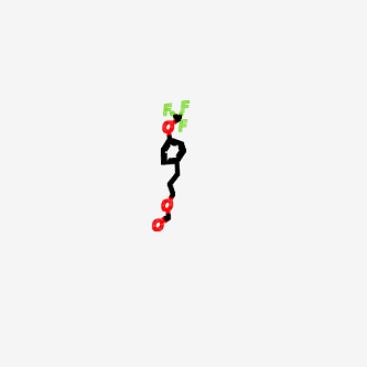 O=COCCCc1ccc(OC(F)(F)F)cc1